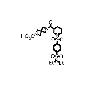 CCN(CC)S(=O)(=O)c1ccc(S(=O)(=O)N2CCCC(C(=O)N3CC4(CN(C(=O)O)C4)C3)C2)cc1